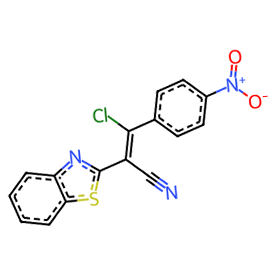 N#CC(=C(Cl)c1ccc([N+](=O)[O-])cc1)c1nc2ccccc2s1